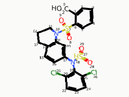 O=C(O)c1ccccc1S(=O)(=O)N1CCCc2ccc(N(c3c(Cl)cccc3Cl)[SH](=O)=O)cc21